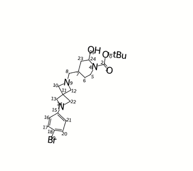 CC(C)(C)OC(=O)N1CCC(CN2CC3(C2)CN(c2ccc(Br)cc2)C3)CC1O